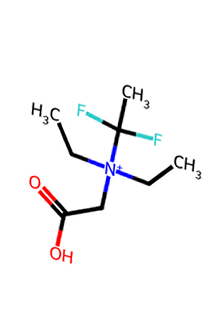 CC[N+](CC)(CC(=O)O)C(C)(F)F